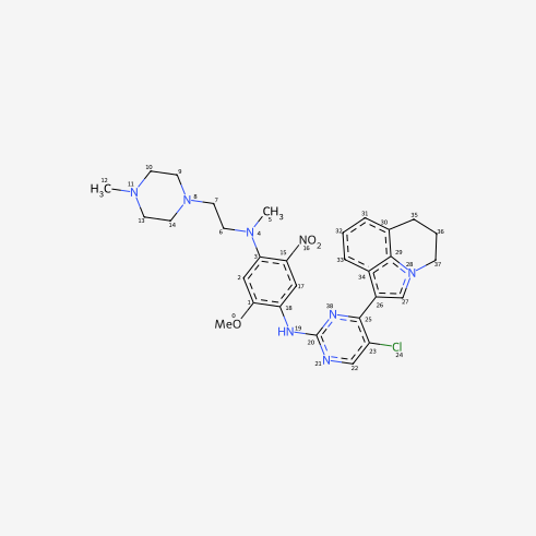 COc1cc(N(C)CCN2CCN(C)CC2)c([N+](=O)[O-])cc1Nc1ncc(Cl)c(-c2cn3c4c(cccc24)CCC3)n1